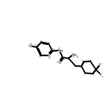 NC(CC1CCC(F)(F)CC1)C(=O)Nc1ccc(Cl)cn1